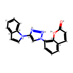 O=c1ccc2cccc(-n3cc(-n4ccc5ccccc54)nn3)c2o1